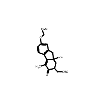 CCCCC12Cc3cc(OCOC)ccc3C1=C(C)C(=O)C(CC=O)C2